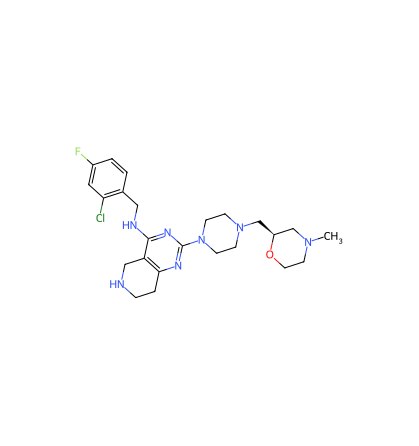 CN1CCO[C@@H](CN2CCN(c3nc4c(c(NCc5ccc(F)cc5Cl)n3)CNCC4)CC2)C1